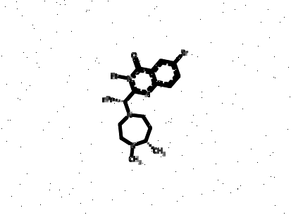 CCC[C@H](c1nc2ccc(Br)cc2c(=O)n1CC)N1CC[C@H](C)N(C)CC1